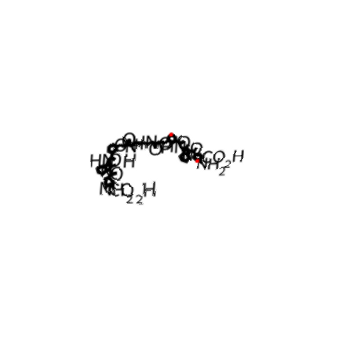 Cc1c(NC(=O)c2cccc(OCC(=O)NCCCCNC(=O)COc3cccc(C(=O)Nc4c(C)c(C(=O)c5ccc(N)c(C(=O)O)c5)n5ccccc45)c3)c2)c2ccccn2c1C(=O)c1ccc(N)c(C(=O)O)c1